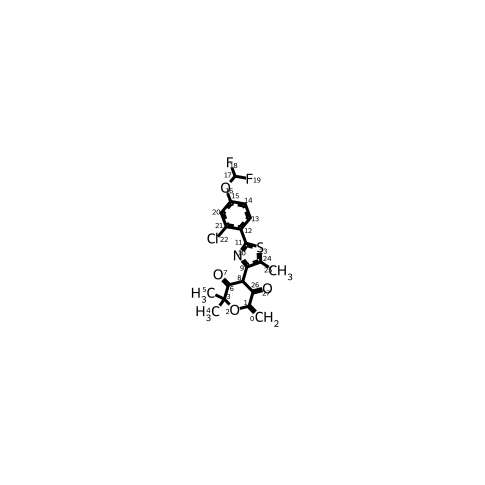 C=C1OC(C)(C)C(=O)C(c2nc(-c3ccc(OC(F)F)cc3Cl)sc2C)C1=O